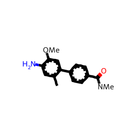 CNC(=O)c1ccc(-c2cc(OC)c(N)cc2C)cc1